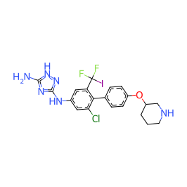 Nc1nc(Nc2cc(Cl)c(-c3ccc(OC4CCCNC4)cc3)c(C(F)(F)I)c2)n[nH]1